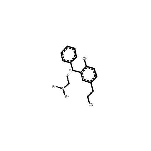 CC(C)N(CC[C@H](c1ccccc1)c1cc(CCC#N)ccc1O)C(C)C